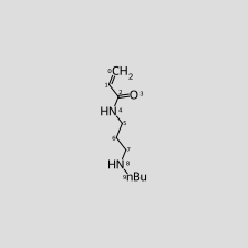 C=CC(=O)NCCCNCCCC